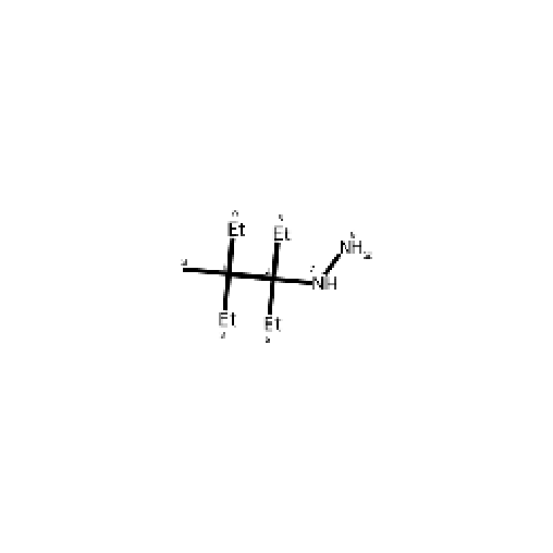 CCC(C)(CC)C(CC)(CC)NN